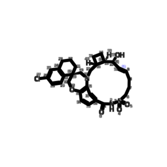 O=C1NS(=O)(=O)CCC/C=C/[C@H](O)[C@@H]2CC[C@H]2CN2C[C@@]3(CCCc4cc(Cl)ccc43)COc3ccc1cc32